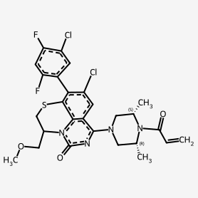 C=CC(=O)N1[C@H](C)CN(c2nc(=O)n3c4c(c(-c5cc(Cl)c(F)cc5F)c(Cl)cc24)SCC3COC)C[C@@H]1C